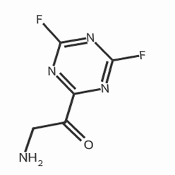 NCC(=O)c1nc(F)nc(F)n1